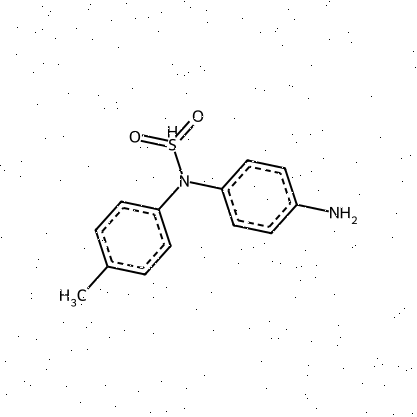 Cc1ccc(N(c2ccc(N)cc2)[SH](=O)=O)cc1